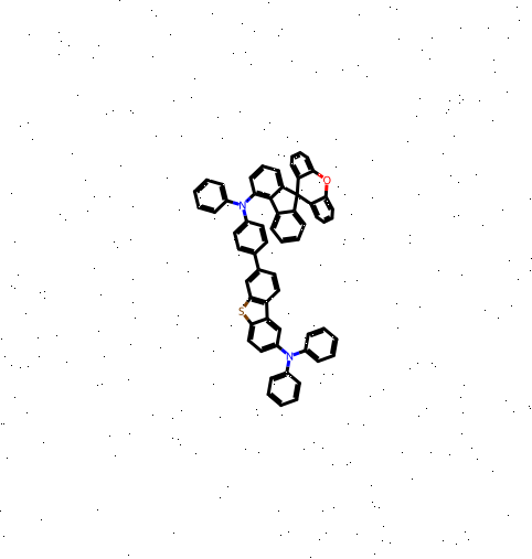 c1ccc(N(c2ccccc2)c2ccc3sc4cc(-c5ccc(N(c6ccccc6)c6cccc7c6-c6ccccc6C76c7ccccc7Oc7ccccc76)cc5)ccc4c3c2)cc1